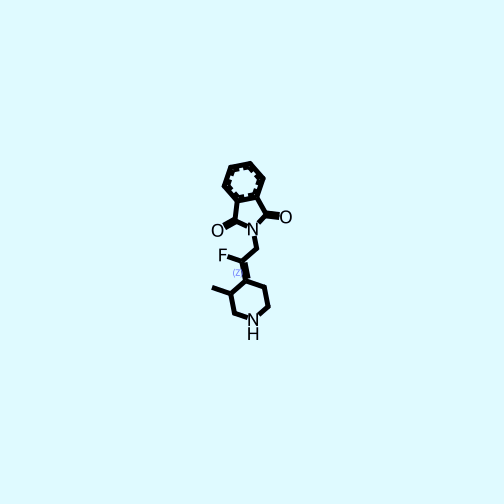 CC1CNCC/C1=C(/F)CN1C(=O)c2ccccc2C1=O